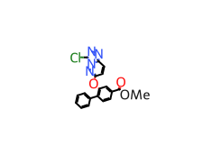 COC(=O)c1ccc(-c2ccccc2)c(Oc2ccc3nnc(Cl)n3n2)c1